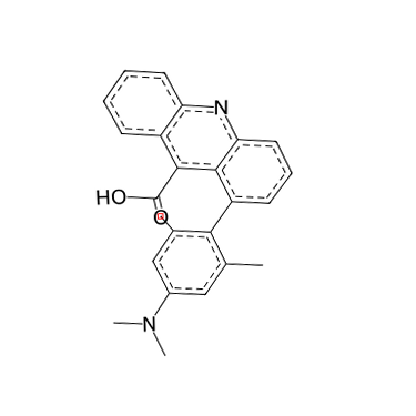 Cc1cc(N(C)C)cc(C)c1-c1cccc2nc3ccccc3c(C(=O)O)c12